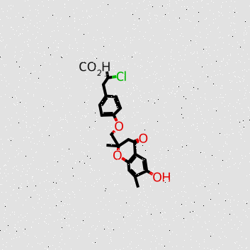 Cc1cc2c(cc1O)C(=O)CC(C)(COc1ccc(CC(Cl)C(=O)O)cc1)O2